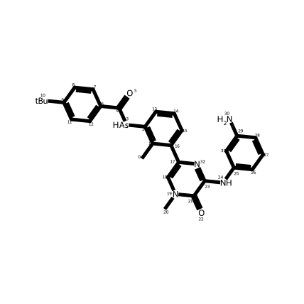 Cc1c([AsH]C(=O)c2ccc(C(C)(C)C)cc2)cccc1-c1cn(C)c(=O)c(Nc2cccc(N)c2)n1